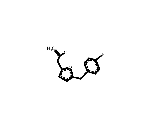 C=C(Cl)Cc1ccc(Cc2ccc(F)cc2)o1